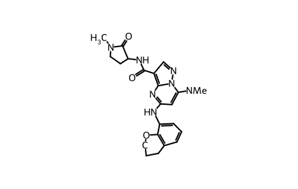 CNc1cc(Nc2cccc3c2OCCC3)nc2c(C(=O)NC3CCN(C)C3=O)cnn12